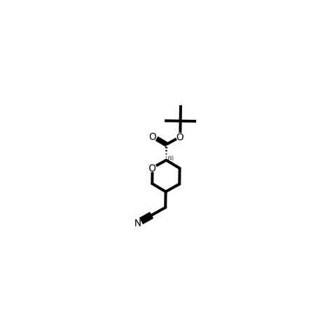 CC(C)(C)OC(=O)[C@@H]1CCC(CC#N)CO1